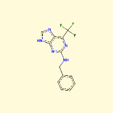 FC(F)(F)c1nc(NCc2ccccc2)nc2[nH]cnc12